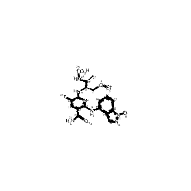 CCOC[C@@H](Nc1nc(Nc2cccc3c2cnn3CC)c(C(N)=O)cc1F)[C@H](C)NC(=O)O